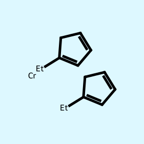 CCC1=CC=CC1.CCC1=CC=CC1.[Cr]